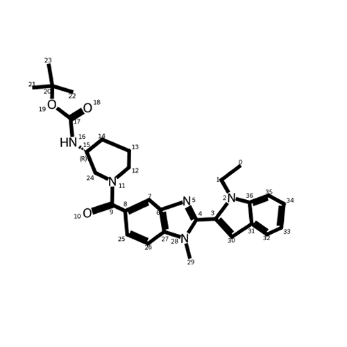 CCn1c(-c2nc3cc(C(=O)N4CCC[C@@H](NC(=O)OC(C)(C)C)C4)ccc3n2C)cc2ccccc21